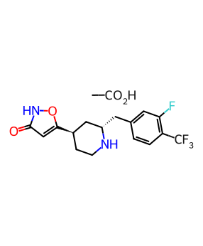 CC(=O)O.O=c1cc([C@@H]2CCN[C@@H](Cc3ccc(C(F)(F)F)c(F)c3)C2)o[nH]1